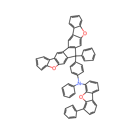 c1ccc(-c2cccc3c2oc2c(N(c4ccccc4)c4ccc(C5(c6ccccc6)c6cc7oc8ccccc8c7cc6-c6cc7c(cc65)oc5ccccc57)cc4)cccc23)cc1